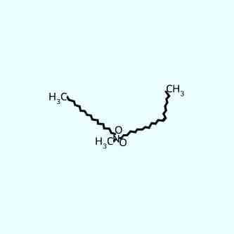 CCCCCCCC/C=C\CCCCCCCCCCCC(=O)N(CC)C(=O)CCCCCCCCCCCCCCCCC